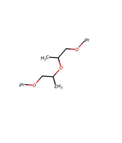 CC(C)OCC(C)OC(C)COC(C)C